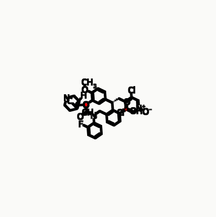 COc1ccc([C@H](Cc2c(Cl)c[n+]([O-])cc2Cl)c2c(CN(C(=O)O[C@H]3CN4CCC3CC4)c3ccccc3F)cccc2C(=O)O)cc1OC